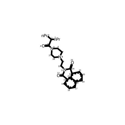 CCCC(CCC)C(=O)N1CCN(CCN2C(=O)c3cccc4cccc(c34)C2=O)CC1